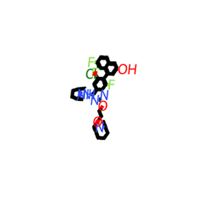 Oc1cc(-c2c(Cl)cc3c(N4CC5CCC(C4)N5)nc(OCCCN4C5CCCC4COC5)nc3c2F)c2c(F)c(F)ccc2c1